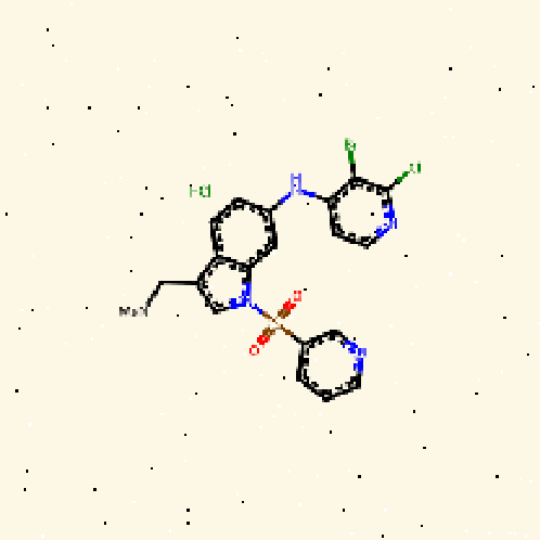 CNCc1cn(S(=O)(=O)c2cccnc2)c2cc(Nc3ccnc(Cl)c3Br)ccc12.Cl